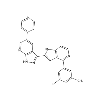 Cc1cc(F)cc(-c2nccc3[nH]c(-c4n[nH]c5ncc(-c6ccncc6)cc45)cc23)c1